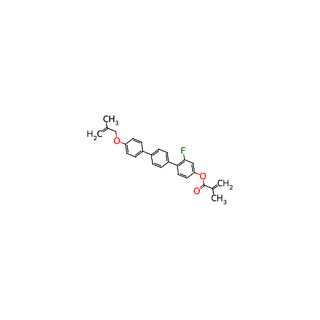 C=C(C)COc1ccc(-c2ccc(-c3ccc(OC(=O)C(=C)C)cc3F)cc2)cc1